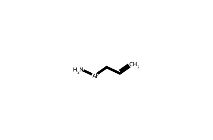 C=C[CH2][Al][NH2]